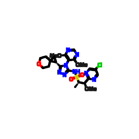 COc1ncnc(OC)c1-n1c(NS(=O)(=O)[C@@H](C)[C@H](OC)c2ncc(Cl)cn2)nnc1[C@H]1CC12CCOCC2